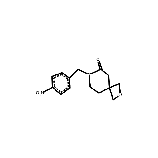 O=C1CC2(CCN1Cc1ccc([N+](=O)[O-])cc1)COC2